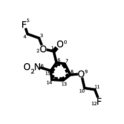 O=C(OCCF)c1cc(OCCF)ccc1[N+](=O)[O-]